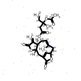 C=C1C(=O)O[C@H]2CC3=C[C@@H](C/C(C)=C/[C@@H](OC(=O)CC(C)(CC)OC(C)=O)[C@H]12)OC3=O